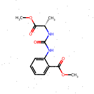 COC(=O)c1ccccc1NC(=O)N[C@@H](C)C(=O)OC